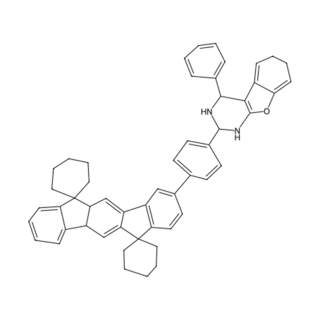 C1=C2C(=CC3c4ccccc4C4(CCCCC4)C13)C1(CCCCC1)c1ccc(-c3ccc(C4Nc5oc6c(c5C(c5ccccc5)N4)=CCCC=6)cc3)cc12